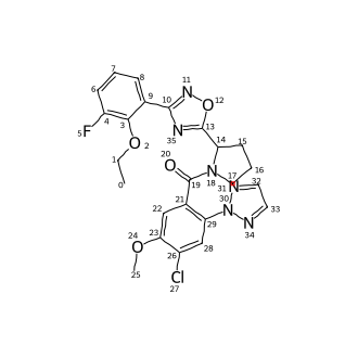 CCOc1c(F)cccc1-c1noc(C2CCCN2C(=O)c2cc(OC)c(Cl)cc2-n2nccn2)n1